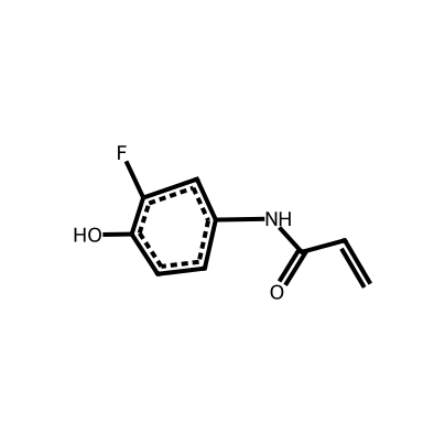 C=CC(=O)Nc1ccc(O)c(F)c1